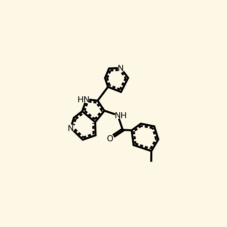 Cc1cccc(C(=O)Nc2c(-c3ccncc3)[nH]c3cnccc23)c1